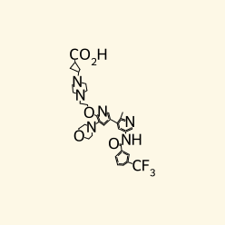 Cc1ncc(NC(=O)c2cccc(C(F)(F)F)c2)cc1-c1cnc(OCCN2CCN(C3CC(C(=O)O)C3)CC2)c(N2CCOCC2)c1